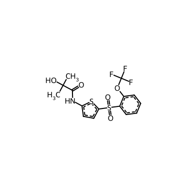 CC(C)(O)C(=O)Nc1ccc(S(=O)(=O)c2ccccc2OC(F)(F)F)s1